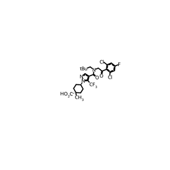 CC(C)(C)CN(CC(=O)c1c(Cl)cc(F)cc1Cl)C(=O)c1cnn([C@H]2CC[C@](C)(C(=O)O)CC2)c1C(F)(F)F